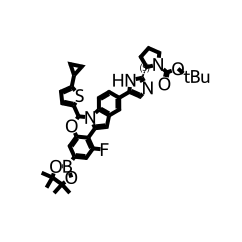 CC(C)(C)OC(=O)N1CCC[C@H]1c1ncc(-c2ccc3c(c2)cc2n3C(c3ccc(C4CC4)s3)Oc3cc(B4OC(C)(C)C(C)(C)O4)cc(F)c3-2)[nH]1